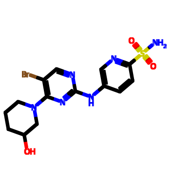 NS(=O)(=O)c1ccc(Nc2ncc(Br)c(N3CCCC(O)C3)n2)cn1